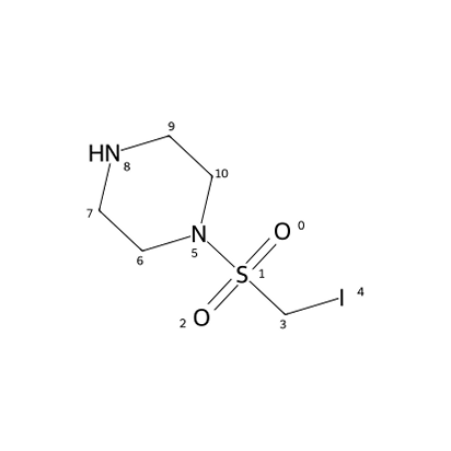 O=S(=O)(CI)N1CCNCC1